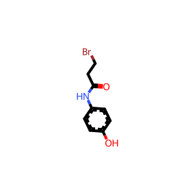 O=C(CCBr)Nc1ccc(O)cc1